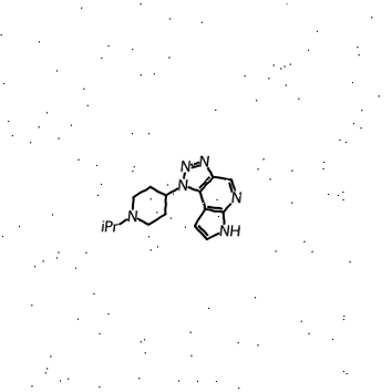 CC(C)N1CCC(n2nnc3cnc4[nH]ccc4c32)CC1